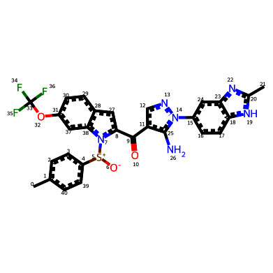 Cc1ccc([S+]([O-])n2c(C(=O)c3cnn(-c4ccc5[nH]c(C)nc5c4)c3N)cc3ccc(OC(F)(F)F)cc32)cc1